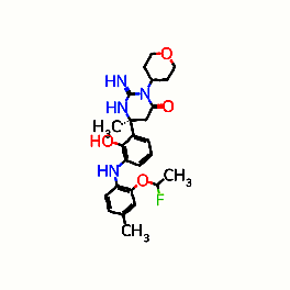 Cc1ccc(Nc2cccc([C@]3(C)CC(=O)N(C4CCOCC4)C(=N)N3)c2O)c(OC(C)F)c1